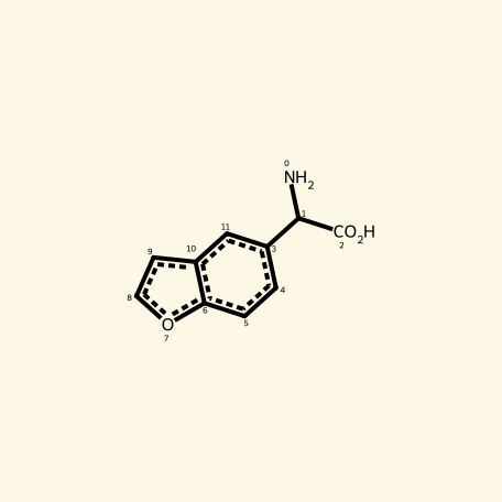 NC(C(=O)O)c1ccc2occc2c1